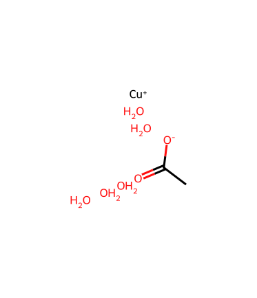 CC(=O)[O-].O.O.O.O.O.[Cu+]